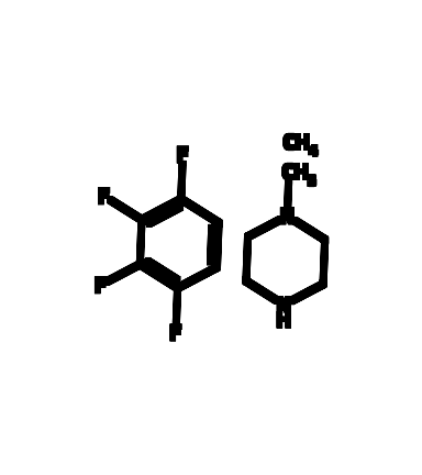 C.CN1CCNCC1.Fc1ccc(F)c(F)c1F